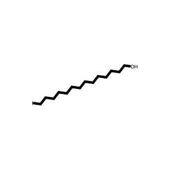 OCCCCCCCCCCCCCCI